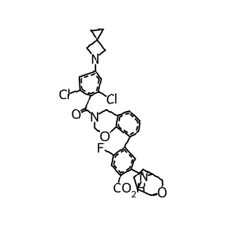 O=C(O)c1cc(F)c(-c2cccc3c2OCN(C(=O)c2c(Cl)cc(N4CC5(CC5)C4)cc2Cl)C3)cc1N1C2CCC1COC2